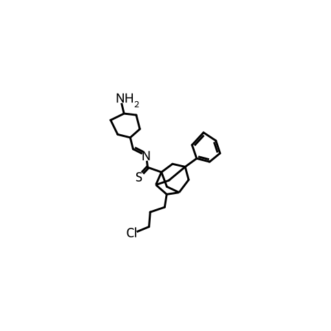 NC1CCC(/C=N/C(=S)C23CC4CC(c5ccccc5)(CC2C4CCCCl)C3)CC1